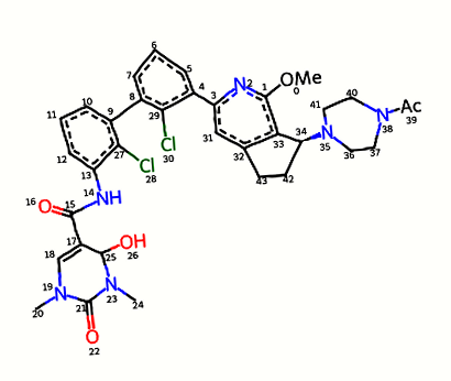 COc1nc(-c2cccc(-c3cccc(NC(=O)C4=CN(C)C(=O)N(C)C4O)c3Cl)c2Cl)cc2c1[C@@H](N1CCN(C(C)=O)CC1)CC2